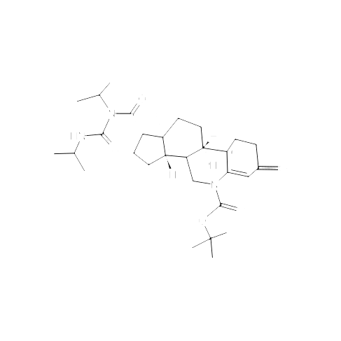 CC(C)NC(=O)N(C(=O)[C@H]1CC[C@H]2[C@@H]3CN(C(=O)OC(C)(C)C)C4=CC(=O)CC[C@]4(C)[C@H]3CC[C@]12C)C(C)C